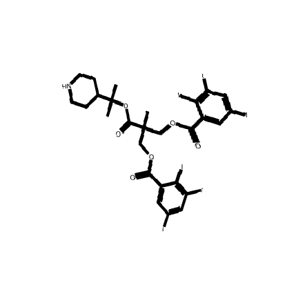 CC(COC(=O)c1cc(I)cc(I)c1I)(COC(=O)c1cc(I)cc(I)c1I)C(=O)OC(C)(C)C1CCNCC1